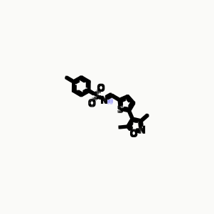 Cc1ccc(S(=O)(=O)/N=C/c2ccc(-c3c(C)noc3C)s2)cc1